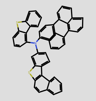 c1ccc(-c2cccc3cccc(-c4ccc(N(c5ccc6c(c5)sc5ccc7ccccc7c56)c5cccc6sc7ccccc7c56)cc4)c23)cc1